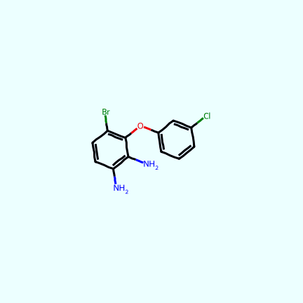 Nc1ccc(Br)c(Oc2cccc(Cl)c2)c1N